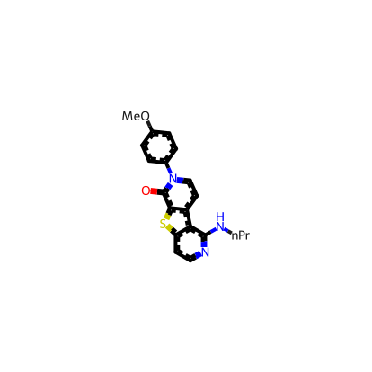 CCCNc1nccc2sc3c(=O)n(-c4ccc(OC)cc4)ccc3c12